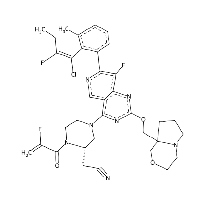 C=C(F)C(=O)N1CCN(c2nc(OCC34CCCN3CCOC4)nc3c(F)c(-c4cccc(C)c4/C(Cl)=C(/F)CC)ncc23)C[C@@H]1CC#N